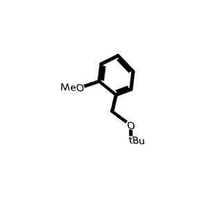 COc1ccccc1COC(C)(C)C